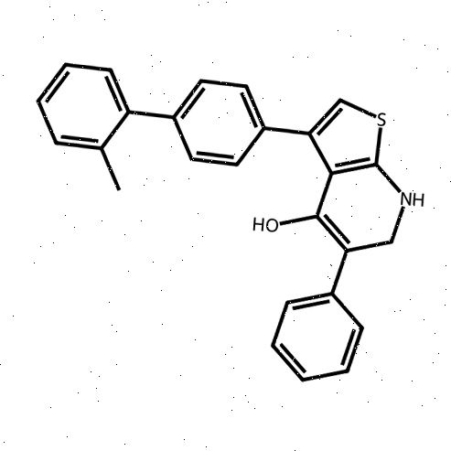 Cc1ccccc1-c1ccc(-c2csc3c2C(O)=C(c2ccccc2)CN3)cc1